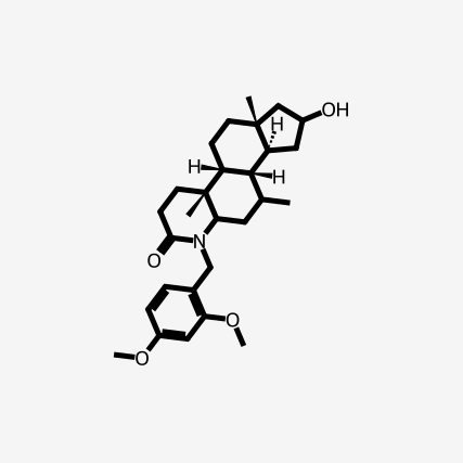 COc1ccc(CN2C(=O)CC[C@@]3(C)C2CC(C)[C@@H]2[C@H]3CC[C@]3(C)CC(O)C[C@@H]23)c(OC)c1